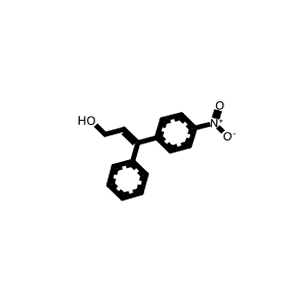 O=[N+]([O-])c1ccc(/C(=C/CO)c2ccccc2)cc1